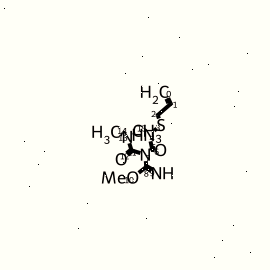 C=CCSNC(=O)N(C(=N)OC)C(=O)N(C)C